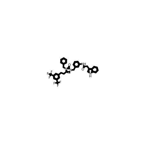 O=C(Cc1c[nH]c2ccccc12)Nc1cccc(Cn2nc(CCc3cc(C(F)(F)F)cc(C(F)(F)F)c3)n(Cc3ccccc3)c2=O)c1